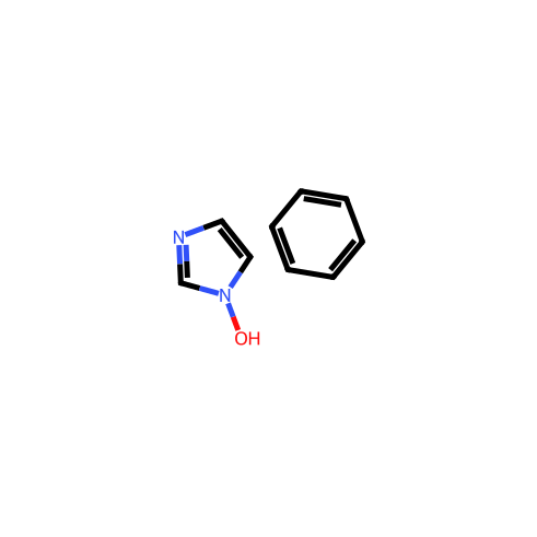 On1ccnc1.c1ccccc1